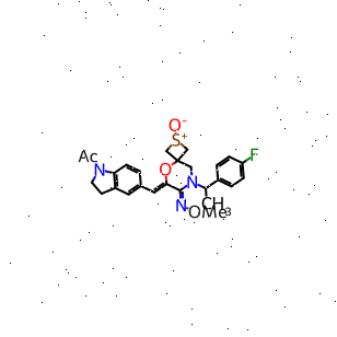 CO/N=C1/C(=C/c2ccc3c(c2)CCN3C(C)=O)OC2(CN1C(C)c1ccc(F)cc1)C[S+]([O-])C2